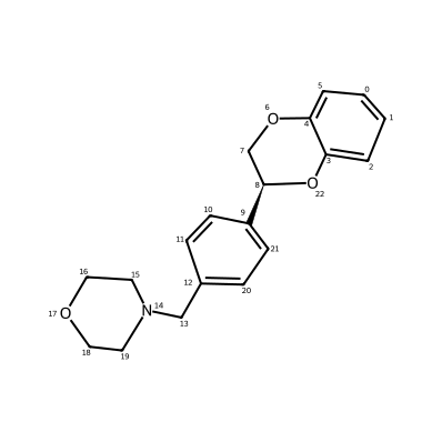 c1ccc2c(c1)OC[C@H](c1ccc(CN3CCOCC3)cc1)O2